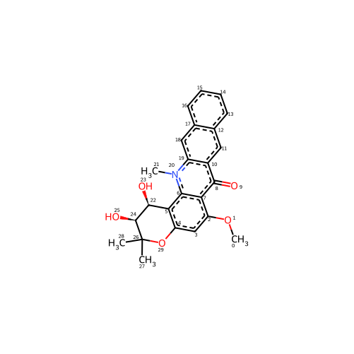 COc1cc2c(c3c1c(=O)c1cc4ccccc4cc1n3C)[C@H](O)[C@H](O)C(C)(C)O2